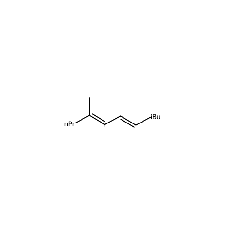 CCC/C(C)=[C]/C=CC(C)CC